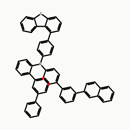 c1ccc(-c2cccc(-c3ccccc3N(c3ccc(-c4cccc(-c5ccc6ccccc6c5)c4)cc3)c3ccc(-c4cccc5sc6ccccc6c45)cc3)c2)cc1